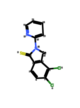 S=c1c2ccc(Cl)c(Cl)c2[se]n1-c1ccccn1